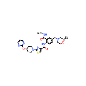 CCCNC(=O)c1cc(CN2CCO[C@@H](CC)C2)ccc1NC(=O)c1csc(N2CCC(Oc3ncccn3)CC2)n1